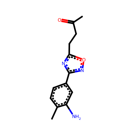 CC(=O)CCc1nc(-c2ccc(C)c(N)c2)no1